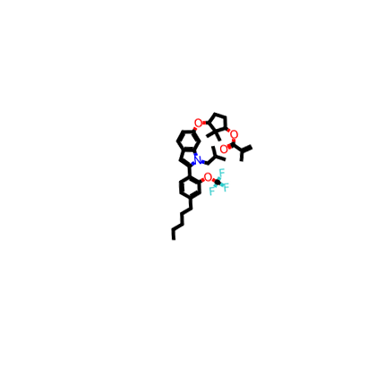 C=C(C)C(=O)OC1CCC(Oc2ccc3cc(-c4ccc(CCCCC)cc4OC(F)(F)F)n(CC(C)C)c3c2)C1(C)C